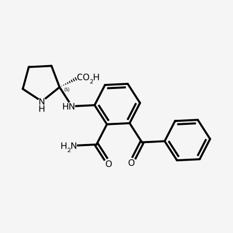 NC(=O)c1c(N[C@]2(C(=O)O)CCCN2)cccc1C(=O)c1ccccc1